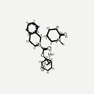 CN1CC([C@H]2c3ccccc3CCN2C(=O)O[C@@H]2CN3CCC2CC3)CCC1=O